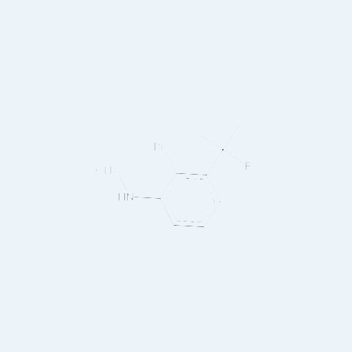 CCC(C)(C)c1cccc(NC=O)c1Br